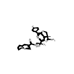 C[C@]1(C(N)=O)COc2c1cc(C(O)(CNC(=O)c1cnn3cccc3c1)C(F)(F)F)nc2-c1ccc(F)cc1